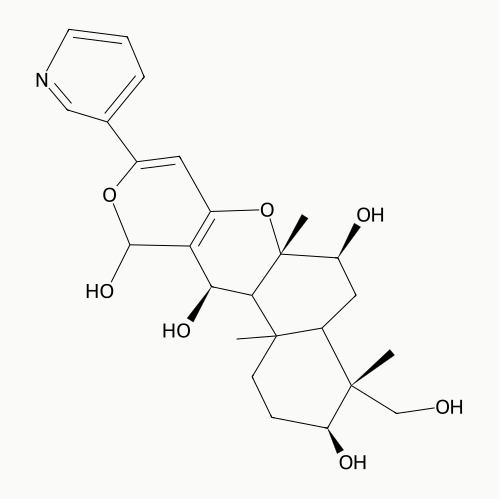 CC12CC[C@H](O)[C@@](C)(CO)C1C[C@H](O)[C@@]1(C)OC3=C(C(O)OC(c4cccnc4)=C3)[C@H](O)C21